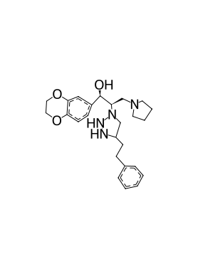 O[C@H](c1ccc2c(c1)OCCO2)[C@@H](CN1CCCC1)N1CC(CCc2ccccc2)NN1